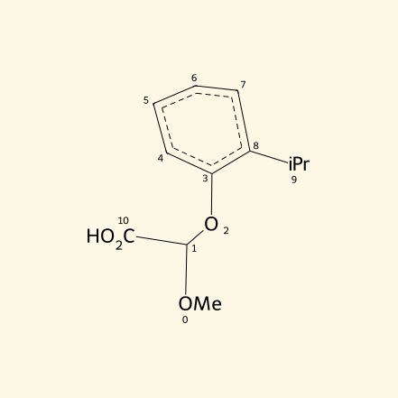 COC(Oc1ccccc1C(C)C)C(=O)O